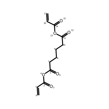 C=CC(=O)OC(=O)CCCCC(=O)OC(=O)C=C